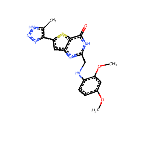 COc1ccc(NCc2nc3cc(-c4nn[nH]c4C)sc3c(=O)[nH]2)c(OC)c1